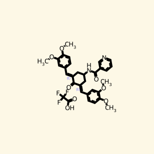 COc1ccc(/C=C2\CC(NC(=O)c3cccnc3)C/C(=C\c3ccc(OC)c(OC)c3)C2=O)cc1OC.O=C(O)C(F)(F)F